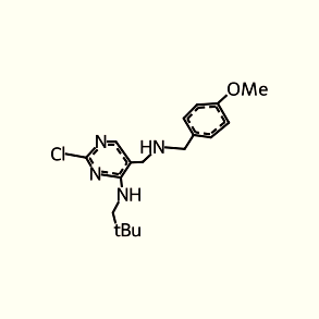 COc1ccc(CNCc2cnc(Cl)nc2NCC(C)(C)C)cc1